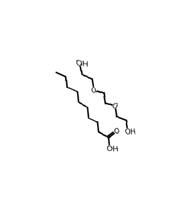 CCCCCCCCCC(=O)O.OCCOCCOCCO